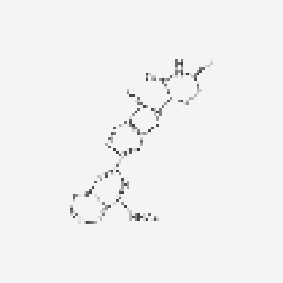 CC(=O)Nc1nc(-c2ccc3c(c2)CN(C2CCC(=O)NC2=O)C3=O)cc2ccccc12